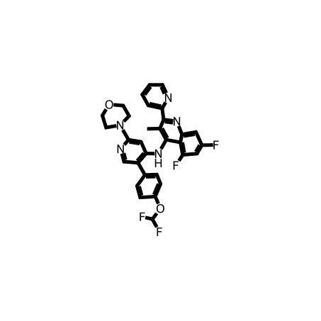 Cc1c(-c2ccccn2)nc2cc(F)cc(F)c2c1Nc1cc(N2CCOCC2)ncc1-c1ccc(OC(F)F)cc1